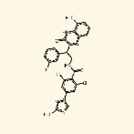 Cc1ncn(-c2cc(Cl)c(C(=O)NCC(c3cccc(F)c3)c3nc4cccc(C)c4[nH]c3=O)c(Cl)c2)n1